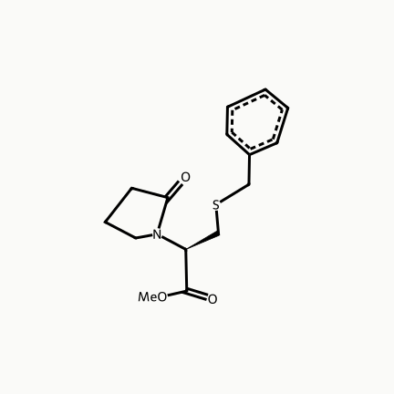 COC(=O)[C@H](CSCc1ccccc1)N1CCCC1=O